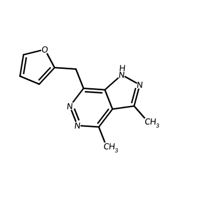 Cc1nnc(Cc2ccco2)c2[nH]nc(C)c12